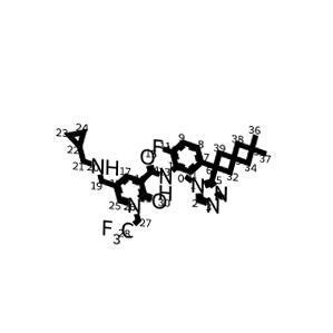 Cn1cnnc1C1(c2ccc(F)c(NC(=O)c3cc(CNCC4CC4)cn(CC(F)(F)F)c3=O)c2)CC2(CC(C)(C)C2)C1